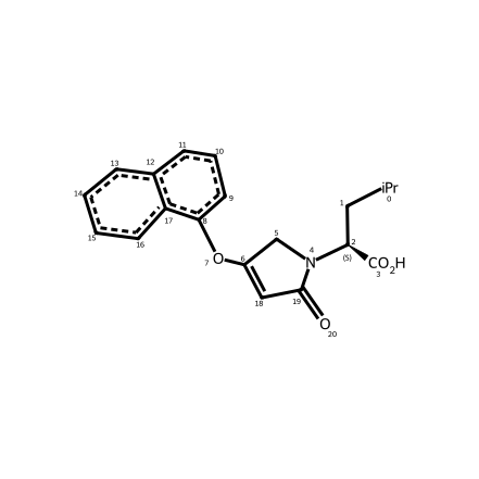 CC(C)C[C@@H](C(=O)O)N1CC(Oc2cccc3ccccc23)=CC1=O